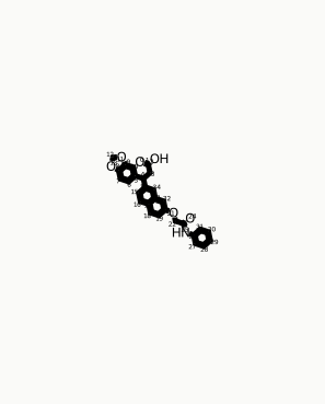 O=C(O)CC(c1ccc2c(c1)OCO2)c1ccc2ccc(OCC(=O)Nc3ccccc3)cc2c1